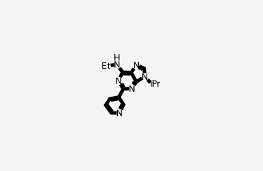 CCNc1nc(-c2cccnc2)nc2c1ncn2C(C)C